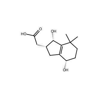 CC1(C)CC[C@H](O)C2=C1[C@@H](O)[C@@H](CC(=O)O)C2